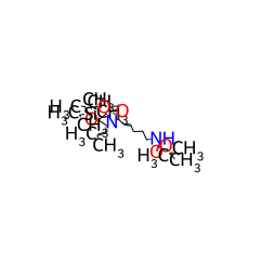 CC(C)=C[C@H]1[C@@H](O[Si](C(C)C)(C(C)C)C(C)C)C(=O)N1C(=O)/C=C/CCCNC(=O)OC(C)(C)C